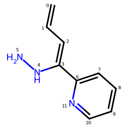 C=C/C=C(\NN)c1ccccn1